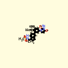 C=C(NS(C)(=O)=O)C1CCc2cc(-c3cc(-n4ccc(=O)[nH]c4=O)cc(C(C)(C)C)c3OC)ccc21